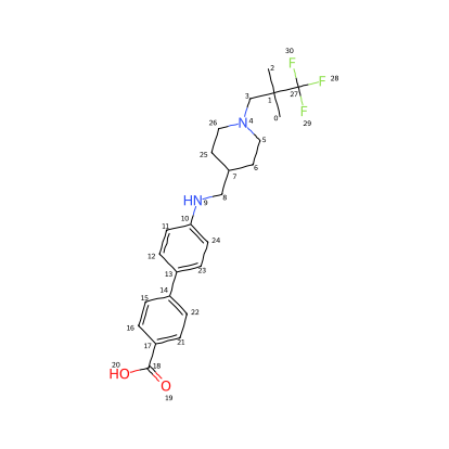 CC(C)(CN1CCC(CNc2ccc(-c3ccc(C(=O)O)cc3)cc2)CC1)C(F)(F)F